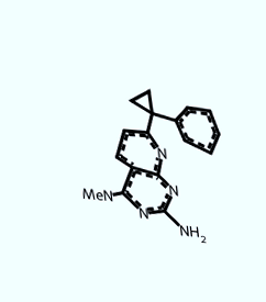 CNc1nc(N)nc2nc(C3(c4ccccc4)CC3)ccc12